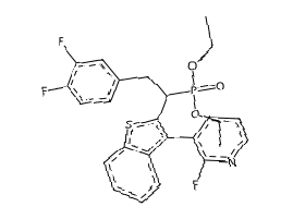 CCOP(=O)(OCC)C(Cc1ccc(F)c(F)c1)c1sc2ccccc2c1-c1cccnc1F